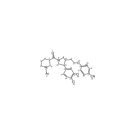 CC(=O)N1CCCC(C(=O)N2CC(CCOc3ccc(C#N)cn3)C(c3ccc(Cl)c(Cl)c3)C2)C1